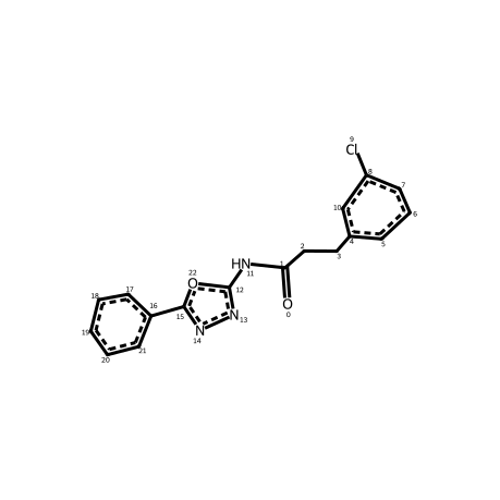 O=C(CCc1cccc(Cl)c1)Nc1nnc(-c2ccccc2)o1